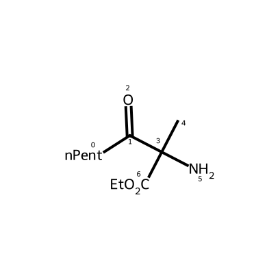 CCCCCC(=O)C(C)(N)C(=O)OCC